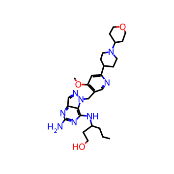 CCCC(CCO)Nc1nc(N)nc2cnn(Cc3cnc(C4CCN(C5CCOCC5)CC4)cc3OC)c12